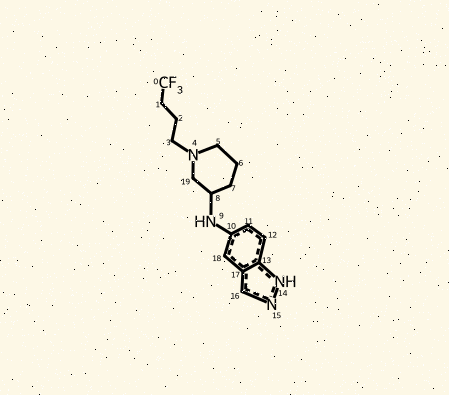 FC(F)(F)CCCN1CCCC(Nc2ccc3[nH]ncc3c2)C1